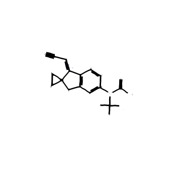 CC(C)(C)N(C(=O)O)c1ccc2c(c1)CC1(CC1)/C2=C\C#N